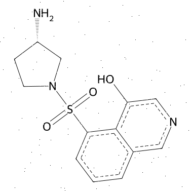 N[C@H]1CCN(S(=O)(=O)c2cccc3cncc(O)c23)C1